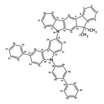 CC1(C)c2ccccc2-c2cc3c4ccccc4n(-c4ccc5c(c4)c4cc(-c6ccccc6)ccc4n5-c4ccc(-c5ccccc5)cc4)c3cc21